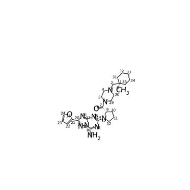 CC1(CN2CCN(C(=O)[C@@H]3CCCN3c3nc(N)n4nc(-c5ccco5)nc4n3)CC2)CCCCC1